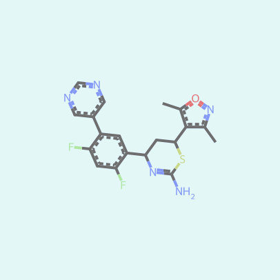 Cc1noc(C)c1C1CC(c2cc(-c3cncnc3)c(F)cc2F)N=C(N)S1